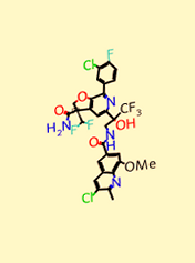 COc1cc(C(=O)NCC(O)(c2cc3c(c(-c4ccc(F)c(Cl)c4)n2)OC[C@]3(C(N)=O)C(F)F)C(F)(F)F)cc2cc(Cl)c(C)nc12